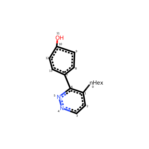 CCCCCCc1ccnnc1-c1ccc(O)cc1